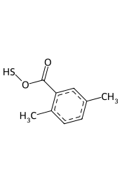 Cc1ccc(C)c(C(=O)OS)c1